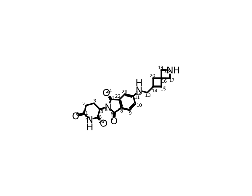 O=C1CCC(N2C(=O)c3ccc(NCC4CC5(CNC5)C4)cc3C2=O)C(=O)N1